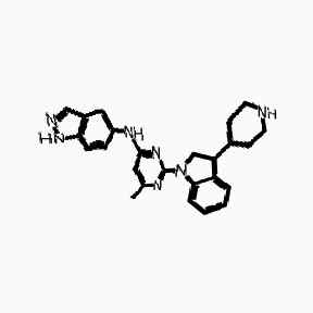 Cc1cc(Nc2ccc3[nH]ncc3c2)nc(N2CC(C3CCNCC3)c3ccccc32)n1